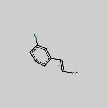 [CH2]CC/C=C/c1cccc(Cl)c1